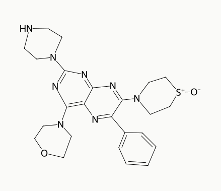 [O-][S+]1CCN(c2nc3nc(N4CCNCC4)nc(N4CCOCC4)c3nc2-c2ccccc2)CC1